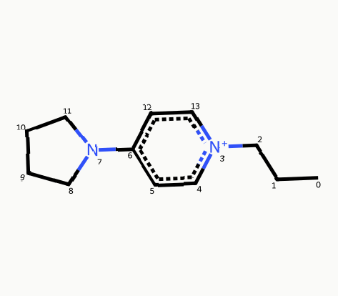 CCC[n+]1ccc(N2CCCC2)cc1